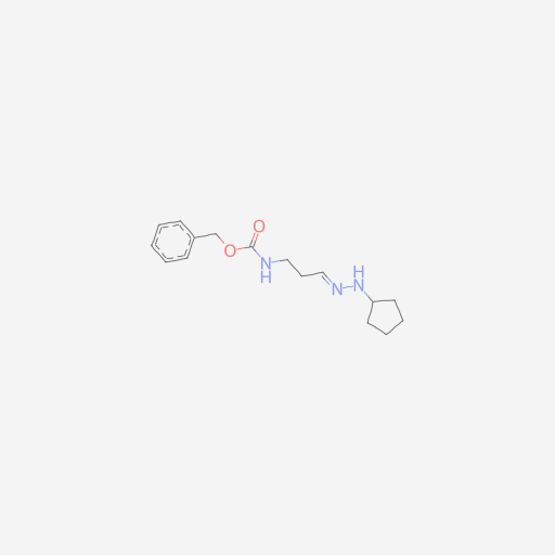 O=C(NCC/C=N/NC1CCCC1)OCc1ccccc1